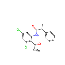 COC(=O)c1c(Cl)cc(Cl)cc1NC(=O)C(C)c1ccccc1